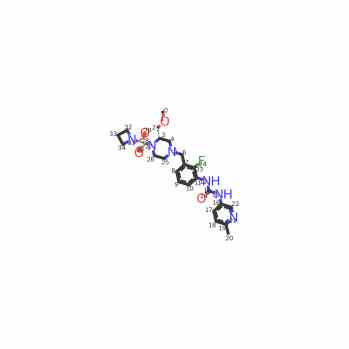 COC[C@@H]1CN(Cc2cccc(NC(=O)Nc3ccc(C)nc3)c2F)CCN1S(=O)(=O)N1CCC1